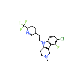 CN1CCc2c(c3c(F)c(Cl)ccc3n2CCC2=CCC(C(F)(F)F)N=C2)C1